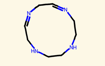 C1=NCC=NCCNCCNC1